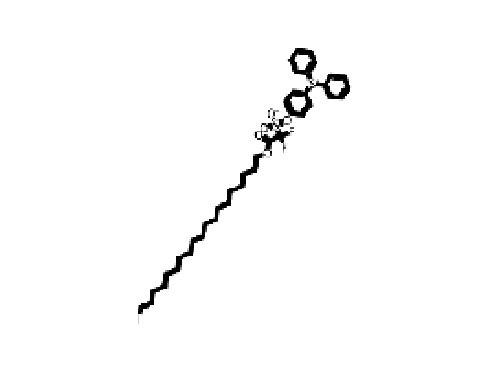 O=C(OCCCCCCCCCCCCCCCCCCCI)C(F)(F)S(=O)(=O)[O-].c1ccc([S+](c2ccccc2)c2ccccc2)cc1